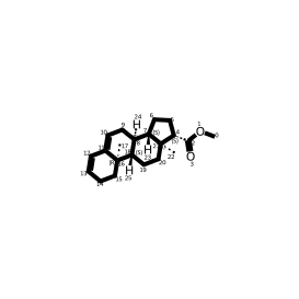 COC(=O)[C@H]1CC[C@H]2[C@@H]3CC=C4C=CCC[C@]4(C)[C@H]3CC[C@]12C